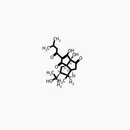 CC(C)CC(=O)C1=C(O)[C@]2(O)C(=O)C[C@H]3C(C)(C)[C@@H](C(C)(C)O)C[C@]32C1=O